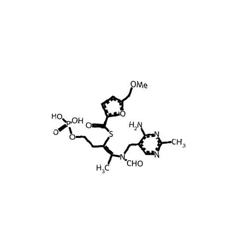 COCc1ccc(C(=O)SC(CCOP(=O)(O)O)=C(C)N(C=O)Cc2cnc(C)nc2N)o1